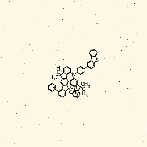 CC1(C)c2ccccc2-c2ccc(N(c3ccc(-c4ccc5sc6ccccc6c5c4)cc3)c3cccc4c3-c3cc5c(cc3C4(C)C)-c3c(-c4ccccc4)cccc3C5(C)C)cc21